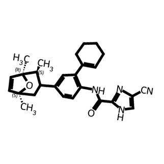 C[C@H]1C(c2ccc(NC(=O)c3nc(C#N)c[nH]3)c(C3=CCCCC3)c2)C[C@@]2(C)C=C[C@]1(C)O2